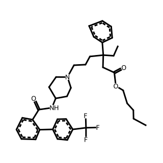 CCCCCOC(=O)CC(CC)(CCCN1CCC(NC(=O)c2ccccc2-c2ccc(C(F)(F)F)cc2)CC1)c1ccccc1